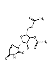 CC(=O)OC[C@H]1O[C@@H](n2ccc(=O)[nH]c2=O)[C@H](F)[C@@H]1OC(C)=O